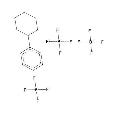 F[B-](F)(F)F.F[B-](F)(F)F.F[B-](F)(F)F.c1ccc(C2CCCCC2)cc1